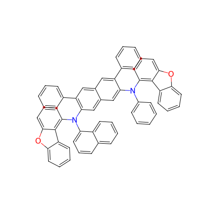 c1ccc(-c2cc3cc(-c4ccccc4)c(N(c4cccc5ccccc45)c4cccc5oc6ccccc6c45)cc3cc2N(c2ccccc2)c2cccc3oc4ccccc4c23)cc1